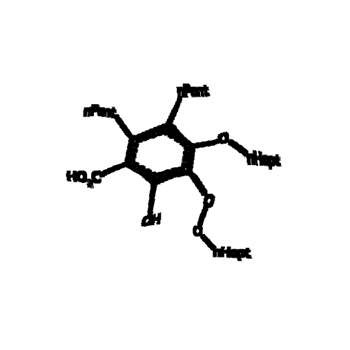 CCCCCCCOOc1c(O)c(C(=O)O)c(CCCCC)c(CCCCC)c1OCCCCCCC